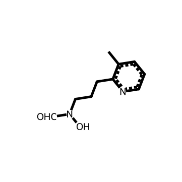 Cc1cccnc1CCCN(O)C=O